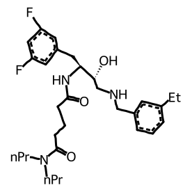 CCCN(CCC)C(=O)CCCC(=O)N[C@@H](Cc1cc(F)cc(F)c1)[C@H](O)CNCc1cccc(CC)c1